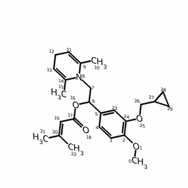 COc1ccc(C(CN2C(C)=CCC=C2C)OC(=O)C=C(C)C)cc1OCC1CC1